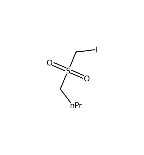 CCCCS(=O)(=O)CI